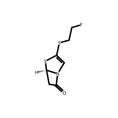 O=C1C[C@H]2SC(SCCF)=CN12